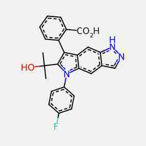 CC(C)(O)c1c(-c2ccccc2C(=O)O)c2cc3[nH]ncc3cc2n1-c1ccc(F)cc1